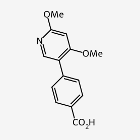 COc1cc(OC)c(-c2ccc(C(=O)O)cc2)cn1